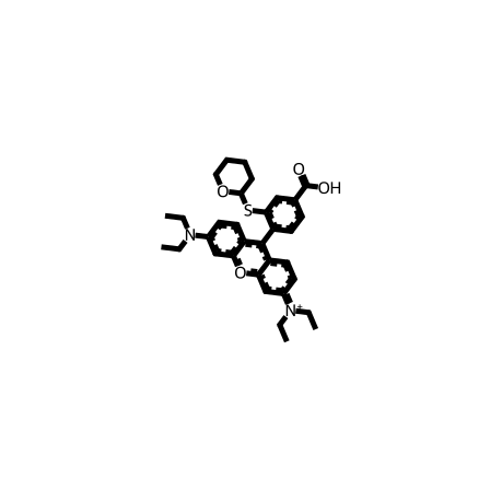 CCN(CC)c1ccc2c(-c3ccc(C(=O)O)cc3SC3CCCCO3)c3ccc(=[N+](CC)CC)cc-3oc2c1